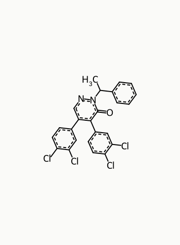 CC(c1ccccc1)n1ncc(-c2ccc(Cl)c(Cl)c2)c(-c2ccc(Cl)c(Cl)c2)c1=O